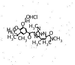 CN=c1n(CC(=O)c2cc(OCCO)c(OC)c(C(C)(C)C)c2)nc2c(C)cc(C(=O)N(C)C)nn12.Cl